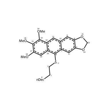 CCCCCCCCCCCCSc1c2cc3c(cc2cc2c(OC)c(OC)c(OC)cc12)OCO3